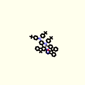 CC(C)(C)c1ccc(N2B3c4cccc(C5(c6ccccc6)c6ccccc6-c6ccccc65)c4Nc4cc5c(c(c43)-c3ccc(N(c4ccc(C(C)(C)C)cc4)c4ccc(C(C)(C)C)cc4)cc32)-c2ccccc2C5(C)C)cc1